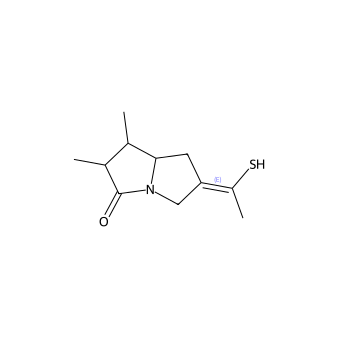 C/C(S)=C1/CC2C(C)C(C)C(=O)N2C1